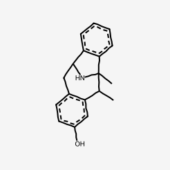 CC1c2cc(O)ccc2CC2NC1(C)c1ccccc12